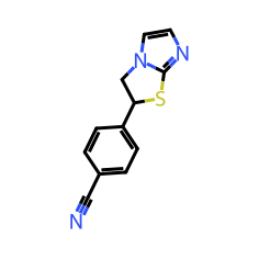 N#Cc1ccc(C2Cn3ccnc3S2)cc1